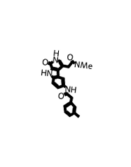 CNC(=O)Cc1c[nH]c(=O)c2[nH]c3ccc(NC(=O)Cc4cccc(C)c4)cc3c12